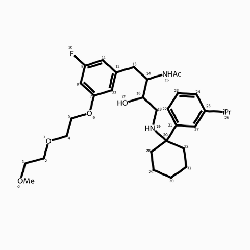 COCCOCCOc1cc(F)cc(CC(NC(C)=O)C(O)CNC2(c3cccc(C(C)C)c3)CCCCC2)c1